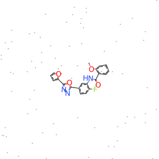 COc1ccccc1C(=O)Nc1cc(-c2nnc(-c3ccco3)o2)ccc1F